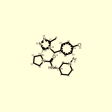 CC(=O)N1CCC[C@@H](NC(=O)N2CCC[C@@H]2c2nnc(C)n2Cc2ccc(Cl)cc2)C1